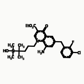 CCOC(=O)c1cn(CCCC(C)(C)[Si](C)(C)O)c2c(N)cc(Cc3cccc(Cl)c3F)cc2c1=O